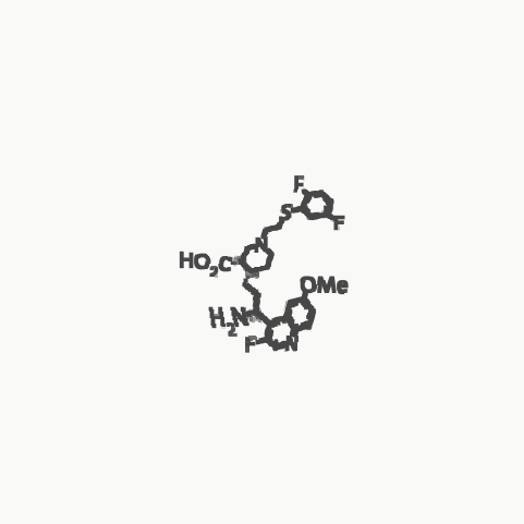 COc1ccc2ncc(F)c([C@@H](N)CC[C@H]3CCN(CCSc4cc(F)ccc4F)C[C@H]3C(=O)O)c2c1